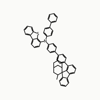 CC1CC2CC(C)C3(c4ccccc4-c4cccc(-c5ccc(-c6ccc(N(c7ccc(-c8ccccc8)cc7)c7cccc8c7sc7ccccc78)cc6)cc5)c43)C(C1)C2